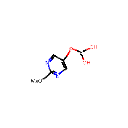 COc1ncc(OB(O)O)cn1